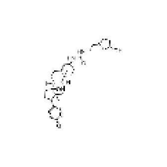 C[C@]12CC[C@H](NC(=O)NCCN3CCC(O)C3)C=C1CC[C@@H]1[C@@H]2CC[C@]2(C)[C@@H](c3ccc(=O)oc3)CC[C@]12O